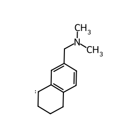 CN(C)Cc1ccc2c(c1)[C]CCC2